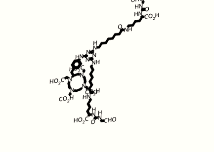 O=CCNC(=O)NC(CCCCNC(=O)CCCCCCCNc1nc(NCCCCCCCC(=O)NCCCCC(NC(=O)NCC=O)C(=O)O)nc(Nc2ccc(CC3CN(CC(=O)O)CCN(CC(=O)O)CCN(CC(=O)O)CCN3CC(=O)O)cc2)n1)C(=O)O